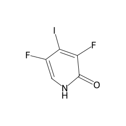 O=c1[nH]cc(F)c(I)c1F